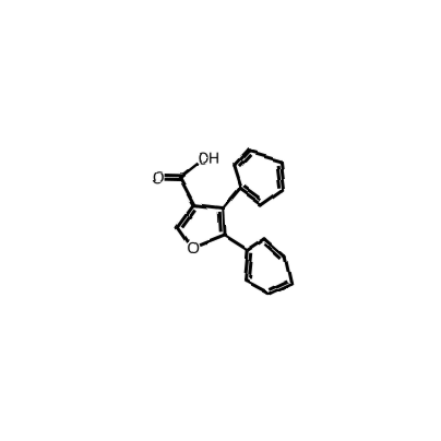 O=C(O)c1coc(-c2ccccc2)c1-c1ccccc1